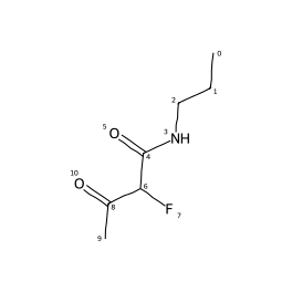 CCCNC(=O)C(F)C(C)=O